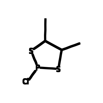 CC1SP(Cl)SC1C